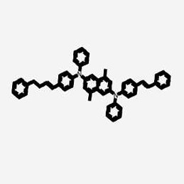 Cc1cc(N(c2ccccc2)c2ccc(/C=C/c3ccccc3)cc2)cc2c(C)cc(N(c3ccccc3)c3ccc(/C=C/CCc4ccccc4)cc3)cc12